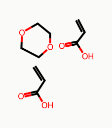 C1COCCO1.C=CC(=O)O.C=CC(=O)O